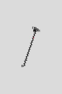 CCO[Si](CCCCCCCCCCCCCCCCCCCCCCCCCCCCCCCBr)(OCC)OCC